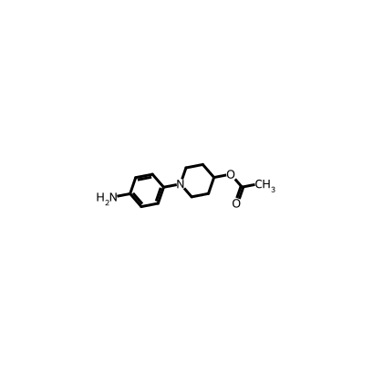 CC(=O)OC1CCN(c2ccc(N)cc2)CC1